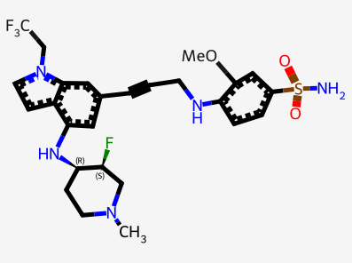 COc1cc(S(N)(=O)=O)ccc1NCC#Cc1cc(N[C@@H]2CCN(C)C[C@@H]2F)c2ccn(CC(F)(F)F)c2c1